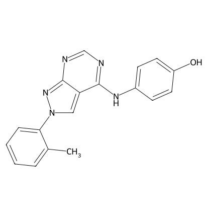 Cc1ccccc1-n1cc2c(Nc3ccc(O)cc3)ncnc2n1